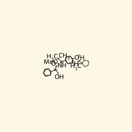 [2H]C([2H])(Oc1ccc([C@@H](NC(=O)[C@@H](CO)c2ccccc2)C(C)(C)OC)cc1)C1(C)CCCC1